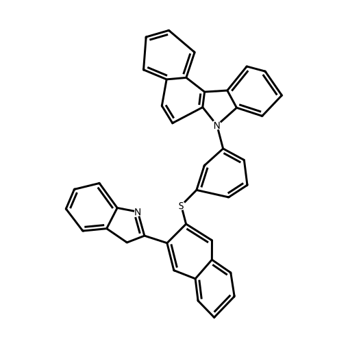 c1cc(Sc2cc3ccccc3cc2C2=Nc3ccccc3C2)cc(-n2c3ccccc3c3c4ccccc4ccc32)c1